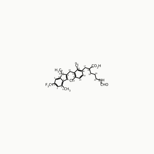 Cc1cc(C(F)(F)F)cc2c1cc(Cc1c(Cl)ccc(CC(CCCNC=O)C(=O)O)c1Cl)n2C